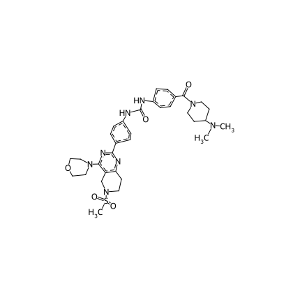 CN(C)C1CCN(C(=O)c2ccc(NC(=O)Nc3ccc(-c4nc5c(c(N6CCOCC6)n4)CN(S(C)(=O)=O)CC5)cc3)cc2)CC1